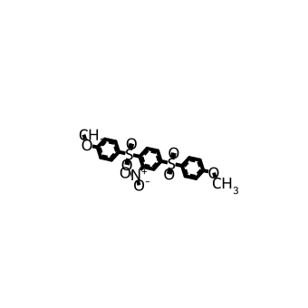 COc1ccc(S(=O)(=O)c2ccc(S(=O)(=O)c3ccc(OC)cc3)c([N+](=O)[O-])c2)cc1